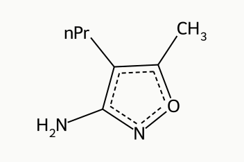 CCCc1c(N)noc1C